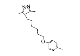 CC1=NN=C(C)C1CCCCCCOc1ccc(C)cc1